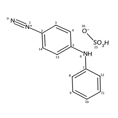 N#[N+]c1ccc(Nc2ccccc2)cc1.O=S(=O)([O-])O